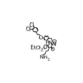 CCOC(=O)NC(CCCCN)C(=O)c1noc(Cc2ccc(OCCc3ccc(Cl)c(Cl)c3)cc2)n1